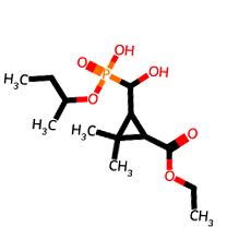 CCOC(=O)C1C(C(O)P(=O)(O)OC(C)CC)C1(C)C